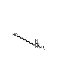 Nc1n[nH]c(CCCCCCCCCCCO)n1